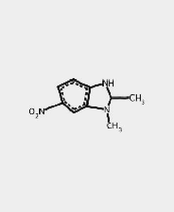 CC1Nc2ccc([N+](=O)[O-])cc2N1C